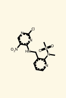 CN(c1ncccc1CNc1nc(Cl)ncc1[N+](=O)[O-])S(C)(=O)=O